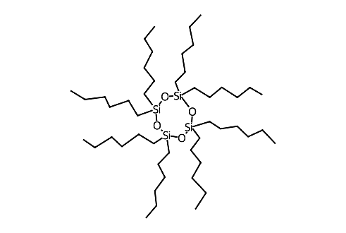 CCCCCC[Si]1(CCCCCC)O[Si](CCCCCC)(CCCCCC)O[Si](CCCCCC)(CCCCCC)O[Si](CCCCCC)(CCCCCC)O1